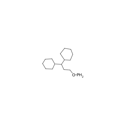 POCCC(C1CCCCC1)C1CCCCC1